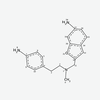 CN(CCc1ccc(N)cc1)Cc1cc2ccc(N)cc2o1